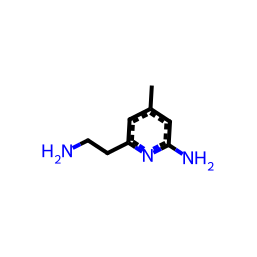 Cc1cc(N)nc(CCN)c1